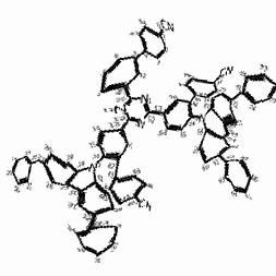 N#Cc1ccc(-c2cccc(-c3nc(-c4ccc(-n5c6ccc(-c7ccccc7)cc6c6cc(-c7ccccc7)ccc65)c(-c5ccc(C#N)cc5)c4)nc(-c4ccc(-n5c6ccc(-c7ccccc7)cc6c6cc(-c7ccccc7)ccc65)c(-c5ccc(C#N)cc5)c4)n3)c2)cc1